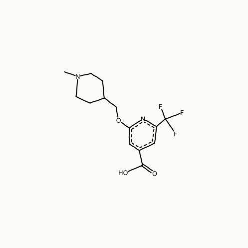 CN1CCC(COc2cc(C(=O)O)cc(C(F)(F)F)n2)CC1